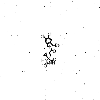 CCC1c2cc(Cl)c(Cl)cc2CN1C(=O)CC[C@@]1(C2CC2)NC(=O)NC1=O